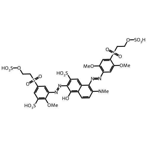 CNc1ccc2c(O)c(/N=N/c3cc(S(=O)(=O)CCOS(=O)(=O)O)cc(S(=O)(=O)O)c3OC)c(S(=O)(=O)O)cc2c1/N=N/c1cc(OC)c(S(=O)(=O)CCOS(=O)(=O)O)cc1OC